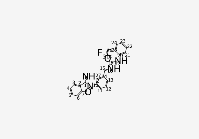 NC1c2ccccc2ON1c1cccc(CNC(=O)Nc2ccccc2C(F)(F)F)c1